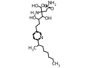 CCCCCCC(C)c1ccc(CCC(O)C(O)C(N)(CS(N)(=O)=O)C(=O)O)cn1